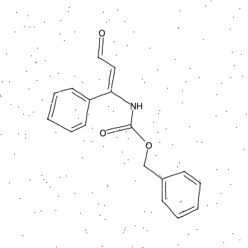 O=CC=C(NC(=O)OCc1ccccc1)c1ccccc1